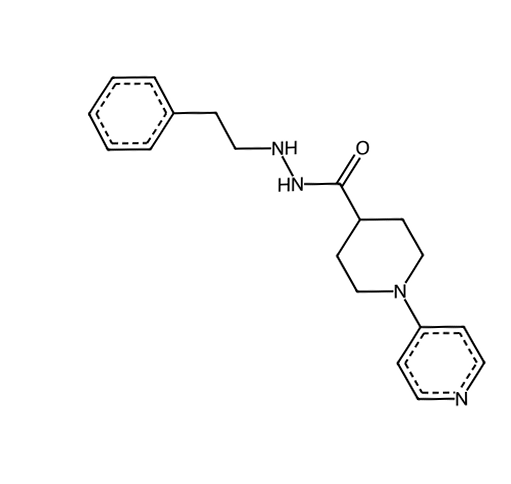 O=C(NNCCc1ccccc1)C1CCN(c2ccncc2)CC1